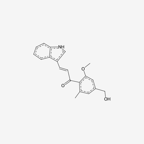 COc1cc(CO)cc(C)c1C(=O)/C=C/c1c[nH]c2ccccc12